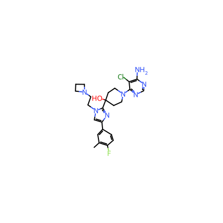 Cc1cc(-c2cn(CCN3CCC3)c(C3(O)CCN(c4ncnc(N)c4Cl)CC3)n2)ccc1F